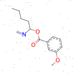 C=NC(CCCC)OC(=O)c1cccc(OC)c1